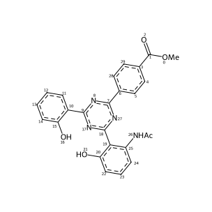 COC(=O)c1ccc(-c2nc(-c3ccccc3O)nc(-c3c(O)cccc3NC(C)=O)n2)cc1